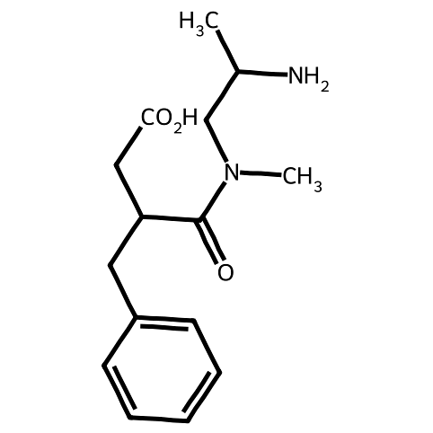 CC(N)CN(C)C(=O)C(CC(=O)O)Cc1ccccc1